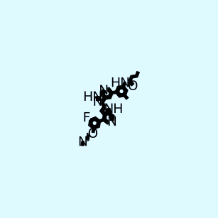 CCCC(=O)Nc1cc(C)cc(-c2cnc3[nH]nc(-c4cc5c(-c6cc(F)cc(OCCN(C)C)c6)cncc5[nH]4)c3c2)c1